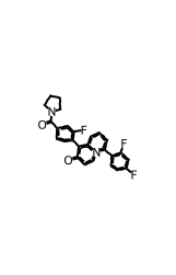 O=C(c1ccc(-c2c(=O)ccn3c(-c4ccc(F)cc4F)cccc23)c(F)c1)N1CCCC1